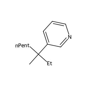 CCCCCC(C)(CC)c1cccnc1